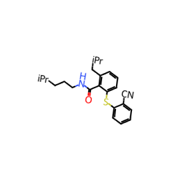 CC(C)CCCNC(=O)c1c(CC(C)C)cccc1Sc1ccccc1C#N